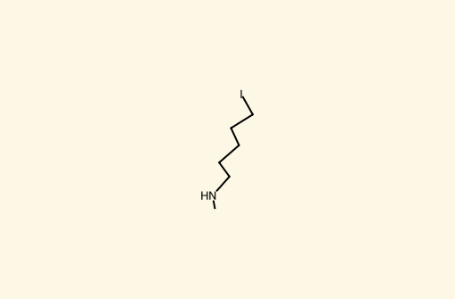 CNCCCCCI